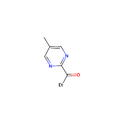 CCC(=O)c1ncc(C)cn1